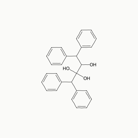 OC(C(c1ccccc1)c1ccccc1)C(O)(O)C(c1ccccc1)c1ccccc1